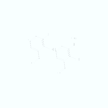 O=Cc1cccc(F)c1O.O=Cc1cccc(F)c1O.[Cu]